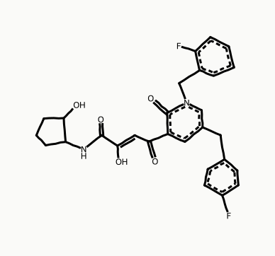 O=C(NC1CCCC1O)/C(O)=C/C(=O)c1cc(Cc2ccc(F)cc2)cn(Cc2ccccc2F)c1=O